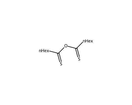 CCCCCCC(=S)OC(=S)CCCCCC